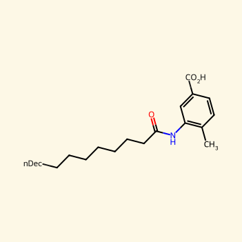 CCCCCCCCCCCCCCCCCC(=O)Nc1cc(C(=O)O)ccc1C